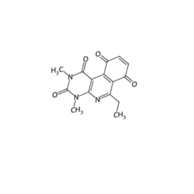 CCc1nc2c(c3c1C(=O)C=CC3=O)c(=O)n(C)c(=O)n2C